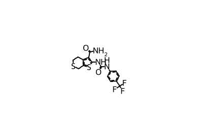 NC(=O)c1c(NC(=O)Nc2ccc(C(F)(F)F)cc2)sc2c1CCSC2